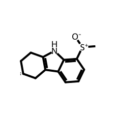 C[S+]([O-])c1cccc2c3c([nH]c12)CC[C]C3